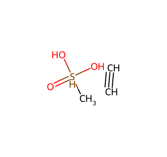 C#C.C[SH](=O)(O)O